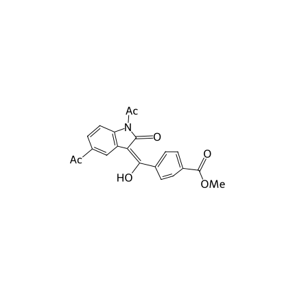 COC(=O)c1ccc(C(O)=C2C(=O)N(C(C)=O)c3ccc(C(C)=O)cc32)cc1